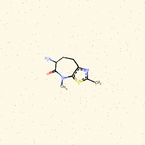 Cc1nc2c(s1)N(C)C(=O)C(N)CC2